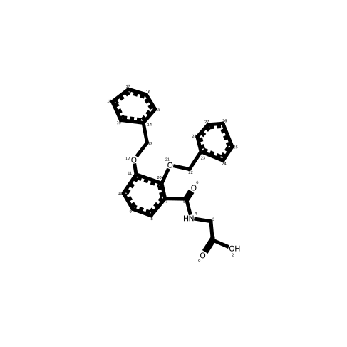 O=C(O)CNC(=O)c1cccc(OCc2ccccc2)c1OCc1ccccc1